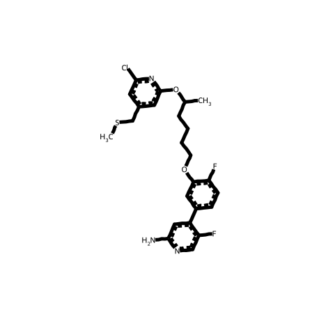 CSCc1cc(Cl)nc(OC(C)CCCCOc2cc(-c3cc(N)ncc3F)ccc2F)c1